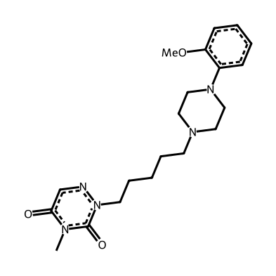 COc1ccccc1N1CCN(CCCCCn2ncc(=O)n(C)c2=O)CC1